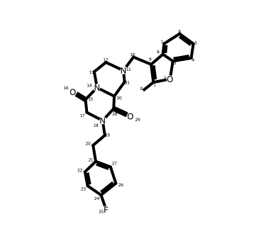 Cc1oc2ccccc2c1CN1CCN2C(=O)CN(CCc3ccc(F)cc3)C(=O)C2C1